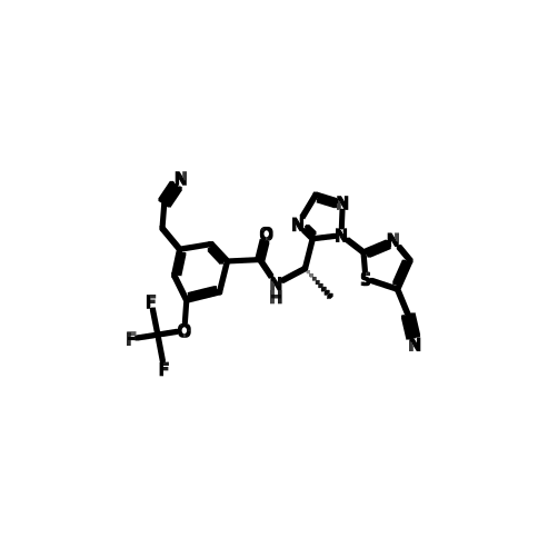 C[C@H](NC(=O)c1cc(CC#N)cc(OC(F)(F)F)c1)c1ncnn1-c1ncc(C#N)s1